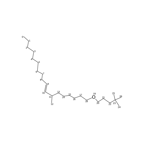 CCCCCCCCC/C=C/C(C)CCCCCCOCCCC(C)(C)C